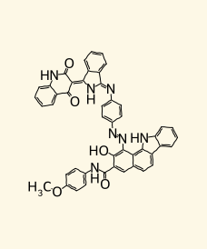 COc1ccc(NC(=O)c2cc3ccc4c5ccccc5[nH]c4c3c(N=Nc3ccc(/N=C4\N/C(=C5/C(=O)Nc6ccccc6C5=O)c5ccccc54)cc3)c2O)cc1